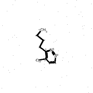 C[CH]CCc1nnccc1Cl